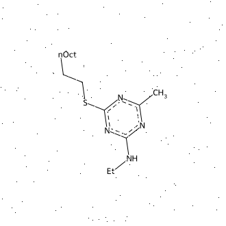 CCCCCCCCCCSc1nc(C)nc(NCC)n1